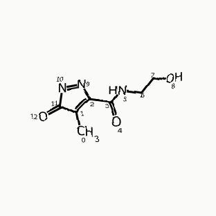 CC1=C(C(=O)NCCO)N=NC1=O